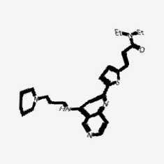 CCN(CC)C(=O)/C=C/c1ccc(-c2cc(NCCCN3CCCCC3)c3cnccc3n2)s1